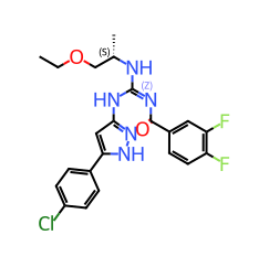 CCOC[C@H](C)N/C(=N/C(=O)c1ccc(F)c(F)c1)Nc1cc(-c2ccc(Cl)cc2)[nH]n1